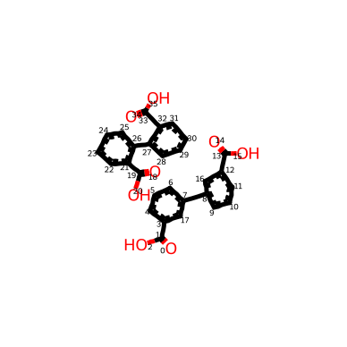 O=C(O)c1cccc(-c2cccc(C(=O)O)c2)c1.O=C(O)c1ccccc1-c1ccccc1C(=O)O